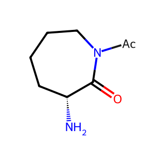 CC(=O)N1CCCC[C@@H](N)C1=O